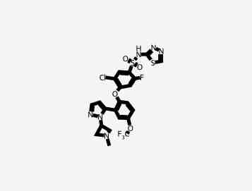 CN1CC(n2nccc2-c2cc(OC(F)(F)F)ccc2Oc2cc(F)c(S(=O)(=O)Nc3nncs3)cc2Cl)C1